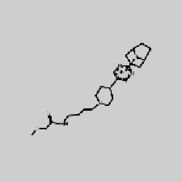 CC(C)N1CC2CCC(C1)N2c1ncc(C2CCN(CCCCNC(=O)COI)CC2)cn1